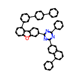 c1ccc(-c2ccc(-c3cccc(-c4cccc5oc6cc(-c7nc(-c8ccccc8)nc(-c8ccc9c(-c%10ccccc%10)cccc9c8)n7)ccc6c45)c3)cc2)cc1